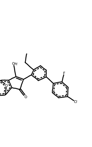 CCc1ccc(-c2ccc(Cl)cc2F)cc1C1=C(O)c2c(c3ccc2o3)C1=O